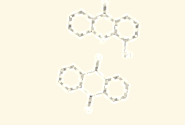 CC(C)c1cccc2c(=O)c3ccccc3sc12.O=C1c2ccccc2C(=O)c2ccccc21